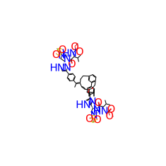 COC(=O)N[C@H](C(=O)N1CN(S(C)(=O)=O)C[C@H]1c1nc(-c2ccc(/C(C)=C3/C=C\[C@H](C)CCc4ccc(cc4-c4ccc(-c5c[nH]c([C@@H]6CN(S(C)(=O)=O)CN6C(=O)[C@@H](NC(=O)OC)C(C)C)n5)cc4)CC3)cc2)c[nH]1)C(C)C